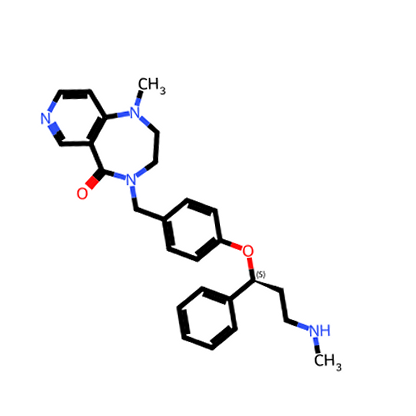 CNCC[C@H](Oc1ccc(CN2CCN(C)c3ccncc3C2=O)cc1)c1ccccc1